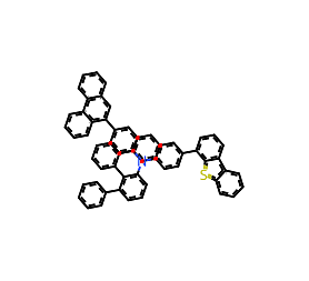 c1ccc(-c2ccccc2-c2c(-c3ccccc3)cccc2N(c2ccc(-c3cc4ccccc4c4ccccc34)cc2)c2ccc(-c3cccc4c3sc3ccccc34)cc2)cc1